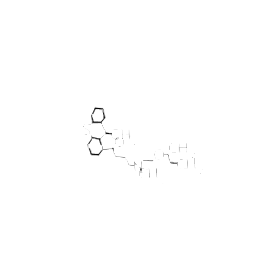 C=CC(=C)OCCN(C)CCCC(=O)c1cccc2c1C(=C)c1ccccc1S2